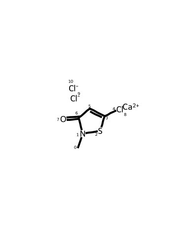 Cn1sc(Cl)cc1=O.[Ca+2].[Cl-].[Cl-]